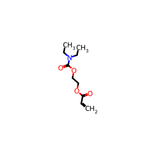 C=CC(=O)OCCOC(=O)N(CC)CC